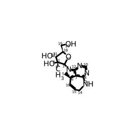 C[C@]1(O)C(n2cc3c4c(ncnc42)NCC=C3)O[C@H](CO)[C@H]1O